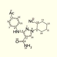 CC(=O)c1ccc(Nc2nn(C3CCCCC3C#N)cc2C(N)=O)cc1